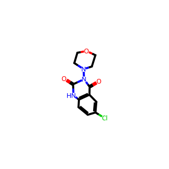 O=c1[nH]c2ccc(Cl)cc2c(=O)n1N1CCOCC1